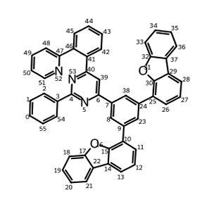 c1ccc(-c2nc(-c3cc(-c4cccc5c4oc4ccccc45)cc(-c4cccc5c4oc4ccccc45)c3)cc(-c3ccccc3-c3ccccn3)n2)cc1